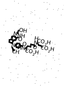 C#CCN(c1ccc(C(=O)N[C@@H](CCCC(=O)N[C@H](CCC(=O)O)C(=O)O)C(=O)O)cc1)[C@H]1CCc2cc3nc(CO)[nH]c(=O)c3cc21